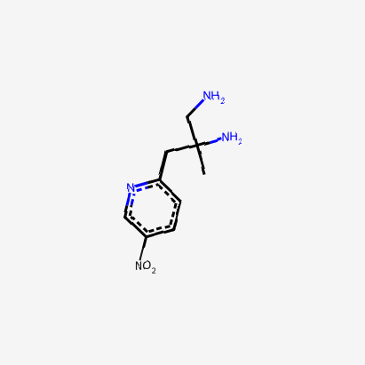 CC(N)(CN)Cc1ccc([N+](=O)[O-])cn1